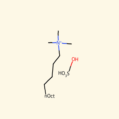 CCCCCCCCCCCC[N+](C)(C)C.O=S(=O)(O)O